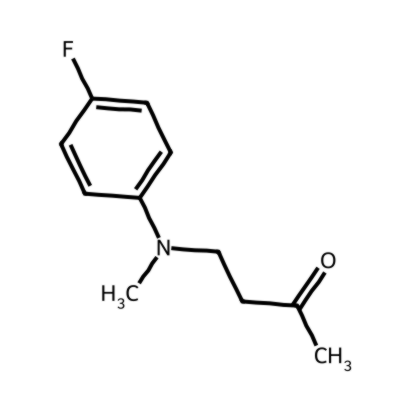 CC(=O)CCN(C)c1ccc(F)cc1